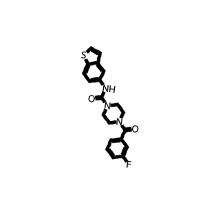 O=C(Nc1ccc2sccc2c1)N1CCN(C(=O)c2cccc(F)c2)CC1